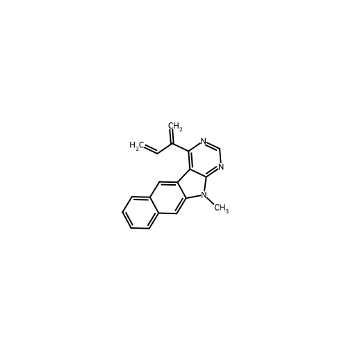 C=CC(=C)c1ncnc2c1c1cc3ccccc3cc1n2C